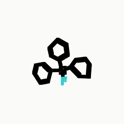 F[Si](C1=C=C=CC=C1)(c1ccccc1)c1ccccc1